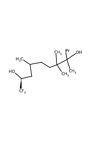 CC(CCC(C)(C)C(C)(O)C(C)C)C[C@H](O)C(F)(F)F